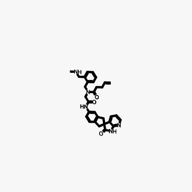 C=CCCC(=O)N(CC(=O)Nc1ccc2c(c1)CC1(C2)C(=O)Nc2ncccc21)Cc1ccccc1CNC